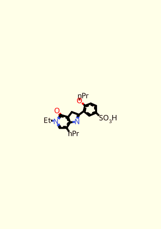 CCCOc1ccc(S(=O)(=O)O)cc1C1=Nc2c(CCC)cn(CC)c(=O)c2C1